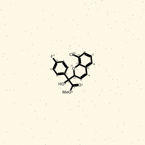 COC(=O)C(O)(c1ccc(F)cc1)C1C=Cc2cccc(Cl)c2O1